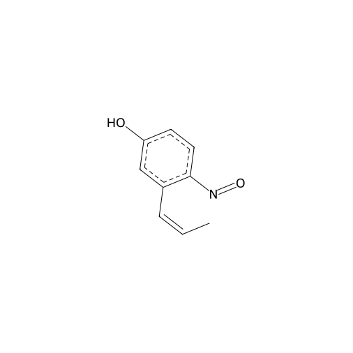 C/C=C\c1cc(O)ccc1N=O